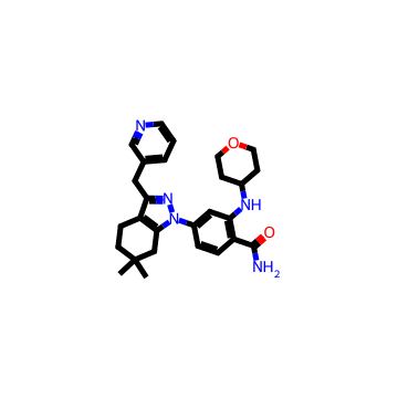 CC1(C)CCc2c(Cc3cccnc3)nn(-c3ccc(C(N)=O)c(NC4CCOCC4)c3)c2C1